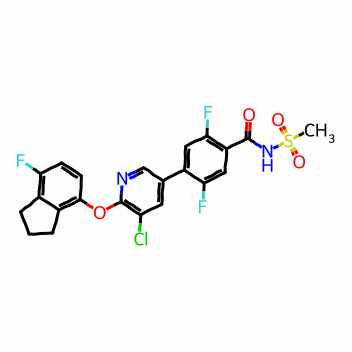 CS(=O)(=O)NC(=O)c1cc(F)c(-c2cnc(Oc3ccc(F)c4c3CCC4)c(Cl)c2)cc1F